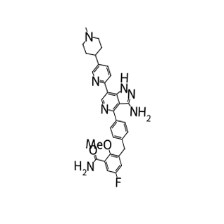 COc1c(Cc2ccc(-c3ncc(-c4ccc(C5CCN(C)CC5)cn4)c4[nH]nc(N)c34)cc2)cc(F)cc1C(N)=O